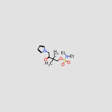 CCN(CC)S(=O)(=O)OCC(C)(C)C(=O)Cn1cccc1